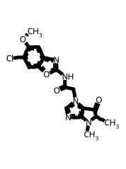 COc1cc2nc(NC(=O)Cn3cnc4c3C(=O)C(C)N4C)oc2cc1Cl